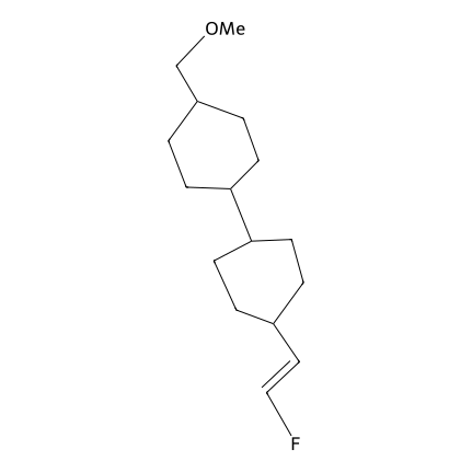 COCC1CCC(C2CCC(C=CF)CC2)CC1